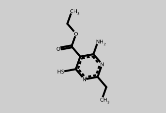 CCOC(=O)c1c(N)nc(CC)nc1S